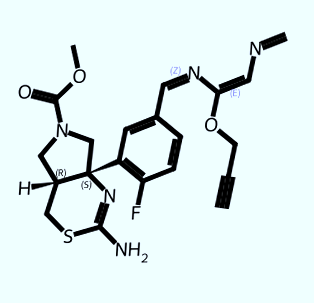 C#CCOC(=C/N=C)/N=C\c1ccc(F)c([C@]23CN(C(=O)OC)C[C@H]2CSC(N)=N3)c1